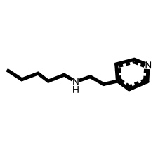 CCCCCNCCc1ccncc1